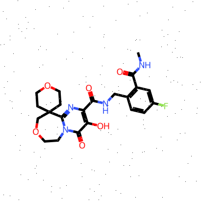 CNC(=O)c1cc(F)ccc1CNC(=O)c1nc2n(c(=O)c1O)CCOCC21CCOCC1